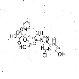 C#C[C@@H](O)[C@@H](O[C@@H](CO)COC(Cc1ccccc1)(C(=O)O)C(=O)O)n1cnc2c(N[C@H](C)CO)nc(Cl)nc21